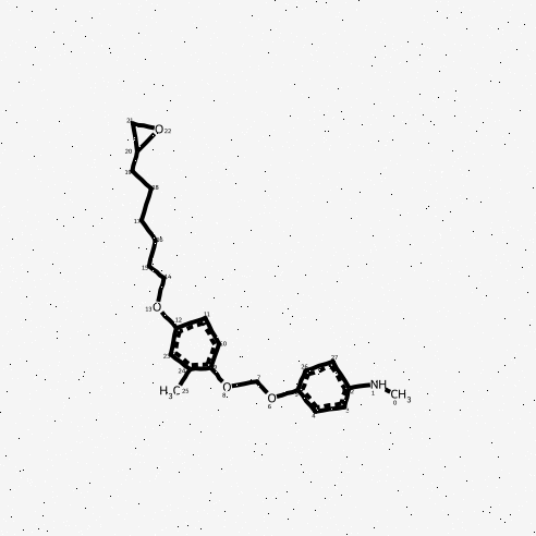 CNc1ccc(OCOc2ccc(OCCCCCCC3CO3)cc2C)cc1